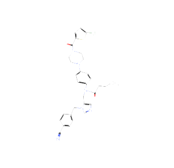 CCCC(=O)N(Cc1cncn1Cc1ccc(C#N)cc1)c1ccc(N2CCN(C(=O)c3ccc(Cl)s3)CC2)cc1